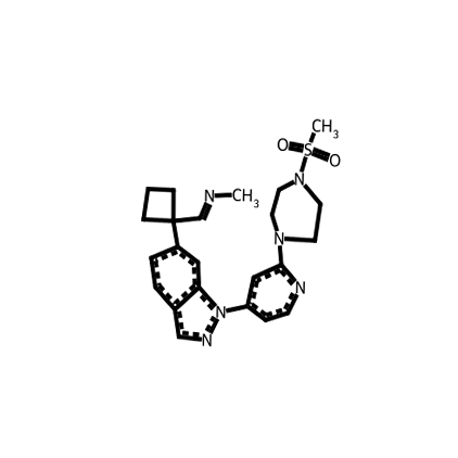 CN=CC1(c2ccc3cnn(-c4ccnc(N5CCN(S(C)(=O)=O)CC5)c4)c3c2)CCC1